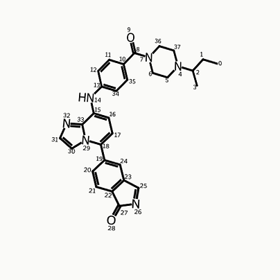 CCC(C)N1CCN(C(=O)c2ccc(Nc3ccc(-c4ccc5c(c4)C=NC5=O)n4ccnc34)cc2)CC1